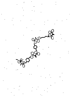 C=C(C(=O)OC)C(=O)OCCCCCOC(=O)C(=C)C(=O)OCC1CCC(COC(=O)C(=C)C(=O)OCC2CCC(COC(=O)C(C)C(=O)OCC)CC2)CC1